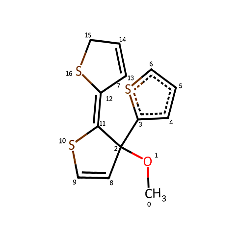 COC1(c2cccs2)C=CSC1=C1C=CCS1